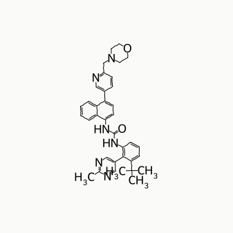 Cc1ncc(-c2c(NC(=O)Nc3ccc(-c4ccc(CN5CCOCC5)nc4)c4ccccc34)cccc2C(C)(C)C)cn1